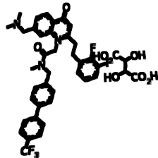 CN(C)Cc1ccc2c(=O)cc(CCc3cccc(F)c3F)n(CC(=O)N(C)Cc3ccc(-c4ccc(C(F)(F)F)cc4)cc3)c2c1.O=C(O)C(O)C(O)C(=O)O